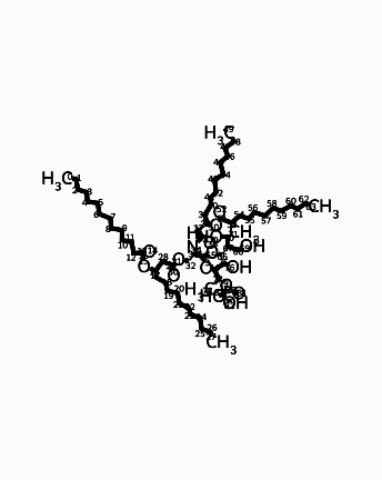 CCCCCCCCCCCCCC(=O)O[C@H](CCCCCCCCCCC)CC(=O)OC[C@H](NC(=O)C[C@@H](CCCCCCCCCCC)OC(=O)CCCCCCCCCCC)C(OC[C@@H](CO)[C@H](C)O)OC(CO)[C@H](C)OP(=O)(O)O